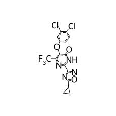 O=c1[nH]c(-c2noc(C3CC3)n2)nc(C(F)(F)F)c1Oc1ccc(Cl)c(Cl)c1